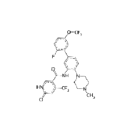 CN1CCN(c2ccc(-c3cc(OC(F)(F)F)ccc3F)cc2NC(=O)c2c[nH]c(=O)cc2C(F)(F)F)CC1